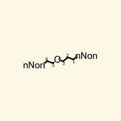 CCCCCCCCCCCCOCCCCCCCCCCC